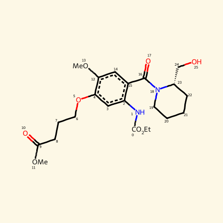 CCOC(=O)Nc1cc(OCCCC(=O)OC)c(OC)cc1C(=O)N1CCCC[C@H]1CO